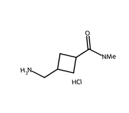 CNC(=O)C1CC(CN)C1.Cl